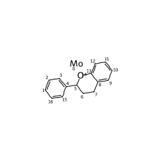 [Mo].c1ccc(C2CCc3ccccc3O2)cc1